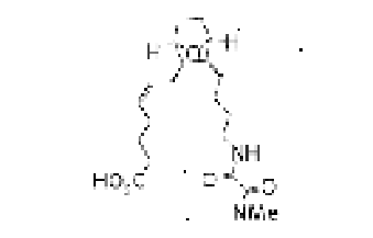 CNC(=O)C(=O)NCCCC[C@H]1[C@@H](C/C=C\CCCC(=O)O)[C@H]2CC[C@@H]1O2